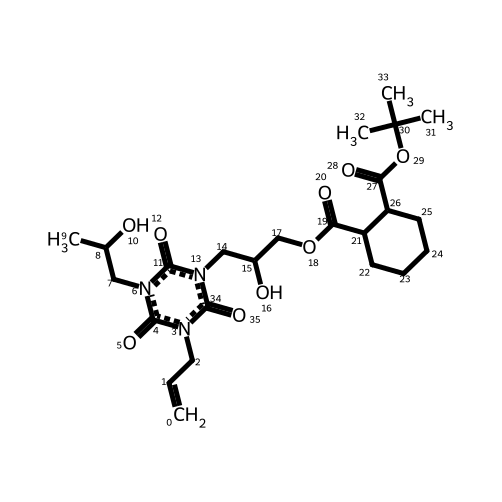 C=CCn1c(=O)n(CC(C)O)c(=O)n(CC(O)COC(=O)C2CCCCC2C(=O)OC(C)(C)C)c1=O